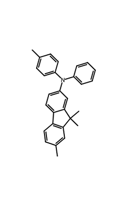 Cc1ccc(N(c2ccccc2)c2ccc3c(c2)C(C)(C)c2cc(C)ccc2-3)cc1